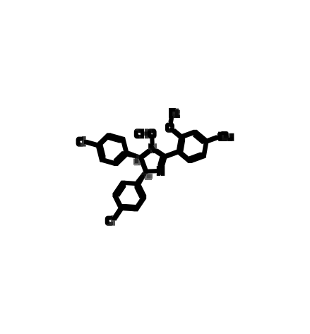 CCOc1cc(C(C)(C)C)ccc1C1=N[C@@H](c2ccc(Cl)cc2)[C@@H](c2ccc(Cl)cc2)N1C=O